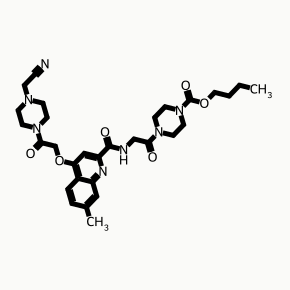 CCCCOC(=O)N1CCN(C(=O)CNC(=O)c2cc(OCC(=O)N3CCN(CC#N)CC3)c3ccc(C)cc3n2)CC1